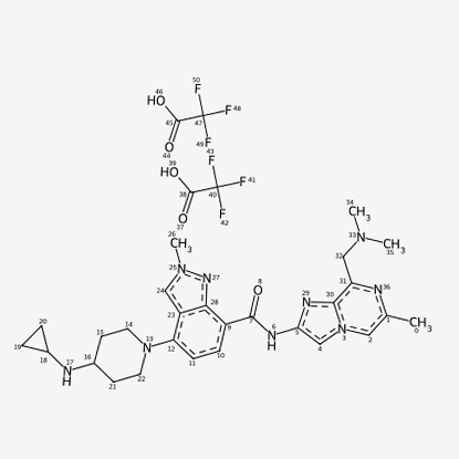 Cc1cn2cc(NC(=O)c3ccc(N4CCC(NC5CC5)CC4)c4cn(C)nc34)nc2c(CN(C)C)n1.O=C(O)C(F)(F)F.O=C(O)C(F)(F)F